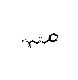 O=C(O)CCNCc1cccnc1